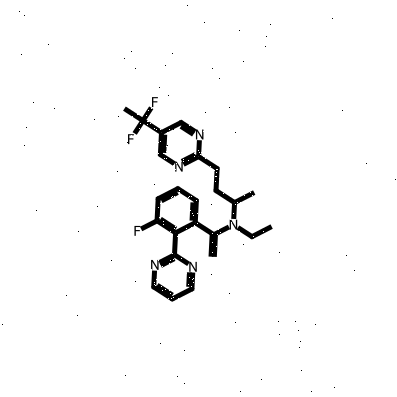 C=C(c1cccc(F)c1-c1ncccn1)N(CC)C(C)CCc1ncc(C(C)(F)F)cn1